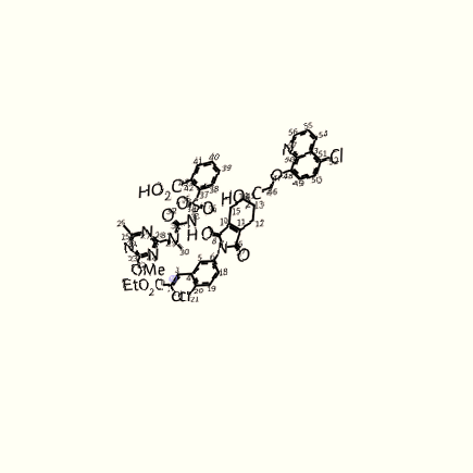 CCOC(=O)/C(Cl)=C/c1cc(N2C(=O)C3=C(CCCC3)C2=O)ccc1Cl.COc1nc(C)nc(N(C)C(=O)NS(=O)(=O)c2ccccc2C(=O)O)n1.O=C(O)COc1ccc(Cl)c2cccnc12